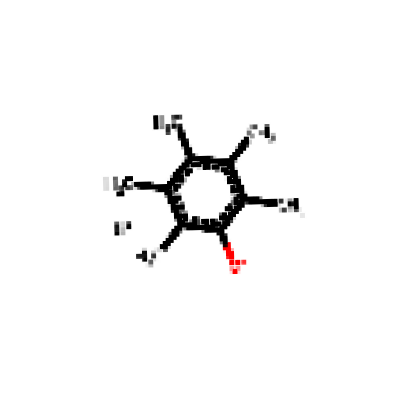 Cc1c(C)c(C)c([O-])c(C)c1C.[Li+]